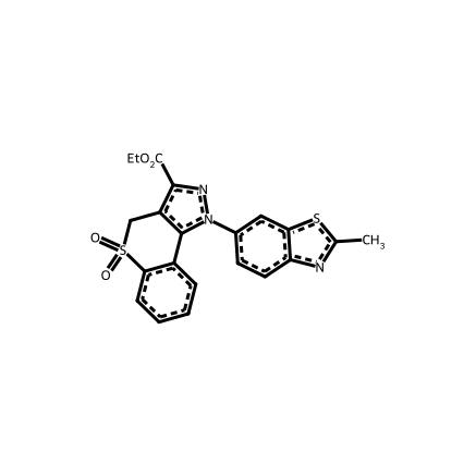 CCOC(=O)c1nn(-c2ccc3nc(C)sc3c2)c2c1CS(=O)(=O)c1ccccc1-2